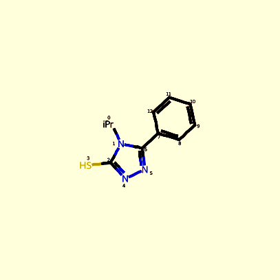 CC(C)n1c(S)nnc1-c1ccccc1